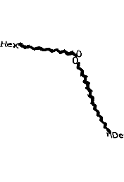 CCCCCCC=CCCCCCCCCCCCC(=O)OCCCCCCCCCCCCCCCCCCCCCCCCCCCCCCC